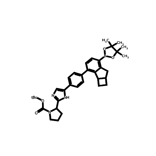 CC(C)(C)OC(=O)N1CCCC1c1ncc(-c2ccc(-c3ccc(B4OC(C)(C)C(C)(C)O4)c4c3C3CCC3C4)cc2)[nH]1